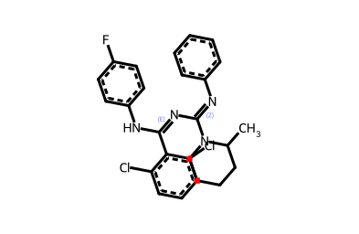 CC1CCCCN1C(=N/c1ccccc1)/N=C(/Nc1ccc(F)cc1)c1c(Cl)cccc1Cl